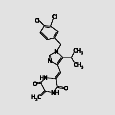 C=c1[nH]c(=O)c(=Cc2ncn(Cc3ccc(Cl)c(Cl)c3)c2C(C)C)[nH]c1=O